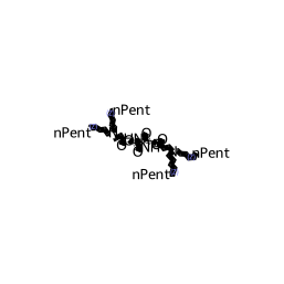 CCCCC/C=C\CCCN(CCC/C=C\CCCCC)CCC(=O)OC[C@@H]1NC(=O)[C@H](COC(=O)CCN(CCC/C=C\CCCCC)CCC/C=C\CCCCC)NC1=O